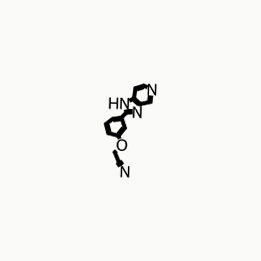 N#CCOc1cccc(-c2nc3cnccc3[nH]2)c1